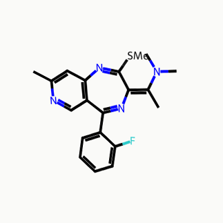 CSC1=Nc2cc(C)ncc2C(c2ccccc2F)=NC1=C(C)N(C)C